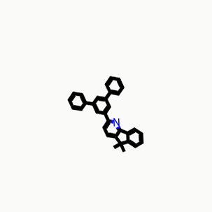 CC1(C)c2ccccc2-c2nc(-c3cc(-c4ccccc4)cc(-c4ccccc4)c3)ccc21